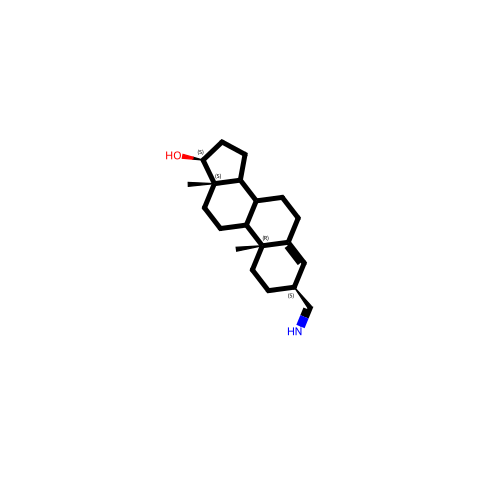 C[C@]12CC[C@H](C=N)C=C1CCC1C2CC[C@@]2(C)C1CC[C@@H]2O